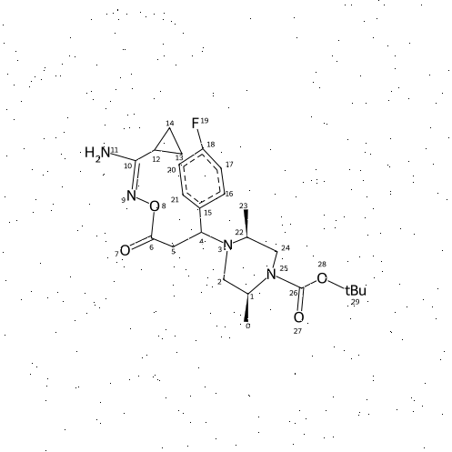 C[C@H]1CN(C(CC(=O)O/N=C(/N)C2CC2)c2ccc(F)cc2)[C@@H](C)CN1C(=O)OC(C)(C)C